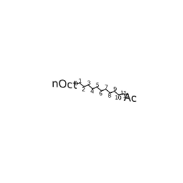 CCCCCCCCCCCCCCCCCCCC(C)=O